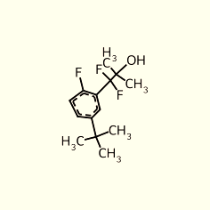 CC(C)(C)c1ccc(F)c(C(F)(F)C(C)(C)O)c1